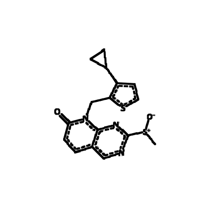 C[S+]([O-])c1ncc2ccc(=O)n(Cc3sccc3C3CC3)c2n1